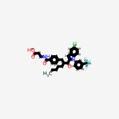 CCCCCC(Cc1ccc(C(=O)NCCC(=O)O)cc1)C(=O)c1cc2cc(Cl)ccc2n1-c1cccc(C(F)(F)F)c1